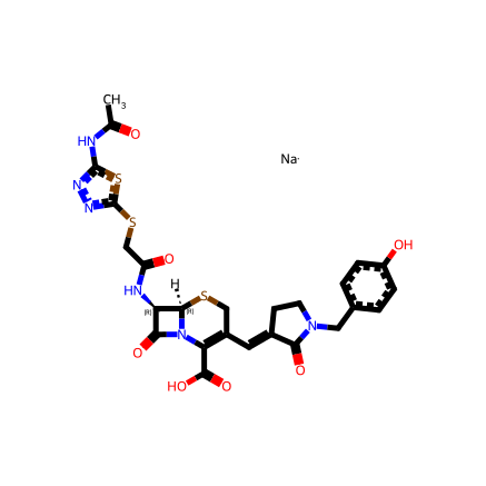 CC(=O)Nc1nnc(SCC(=O)N[C@@H]2C(=O)N3C(C(=O)O)=C(C=C4CCN(Cc5ccc(O)cc5)C4=O)CS[C@H]23)s1.[Na]